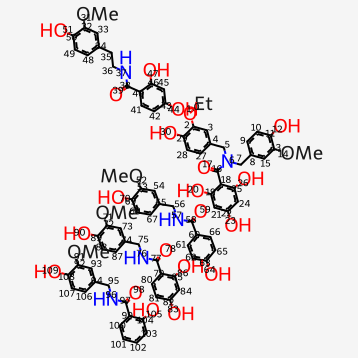 CCOc1cc(CN(Cc2ccc(O)c(OC)c2)C(=O)c2c(O)cc(O)cc2O)ccc1O.COc1cc(CCNC(=O)c2ccc(O)cc2O)ccc1O.COc1cc(CNC(=O)c2ccc(O)cc2)ccc1O.COc1cc(CNC(=O)c2ccc(O)cc2O)ccc1O.COc1cc(CNC(=O)c2ccccc2O)ccc1O